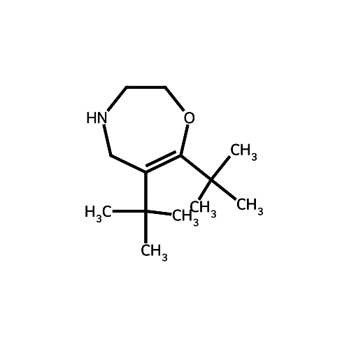 CC(C)(C)C1=C(C(C)(C)C)OCCNC1